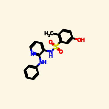 Cc1ccc(O)cc1S(=O)(=O)Nc1cccnc1Nc1ccccc1